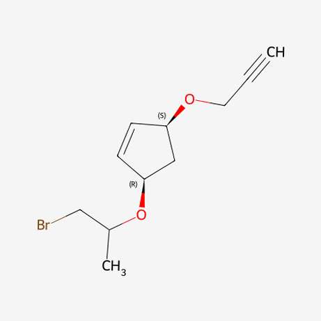 C#CCO[C@@H]1C=C[C@H](OC(C)CBr)C1